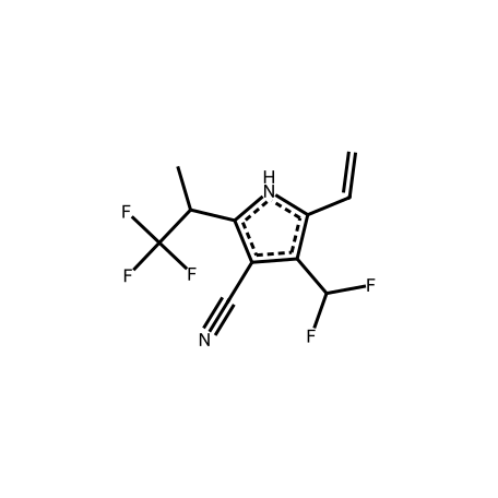 C=Cc1[nH]c(C(C)C(F)(F)F)c(C#N)c1C(F)F